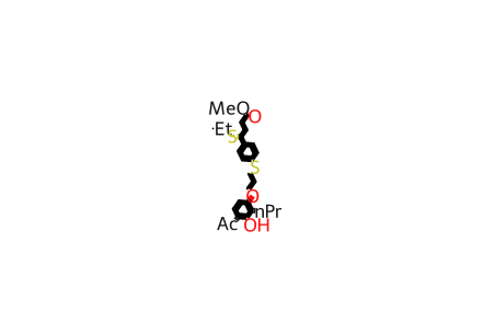 C[CH]SC(CCC(=O)OC)c1ccc(SCCCOc2ccc(C(C)=O)c(O)c2CCC)cc1